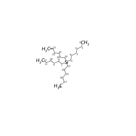 CCCCC[CH][Si](CCCCCC)(CCCCCC)CCCCCC